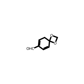 O=CC1=CCC2(C=C1)OCO2